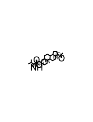 CN[C@H](C(=O)O[C@@H]1C=C2CCC3C(CC[C@@]4(C)C3CC[C@@H]4C(C)=O)[C@@]2(C)CC1)C(C)C